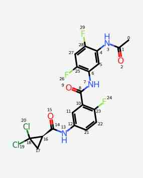 CC(=O)Nc1cc(NC(=O)c2cc(NC(=O)[C@H]3CC3(Cl)Cl)ccc2F)c(F)cc1F